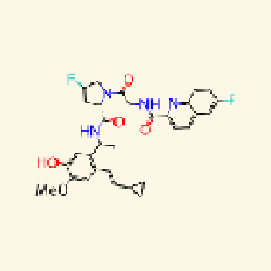 COc1cc(/C=C/C2CC2)c([C@H](C)NC(=O)[C@@H]2C[C@@H](F)CN2C(=O)CNC(=O)c2ccc3cc(F)ccc3n2)cc1O